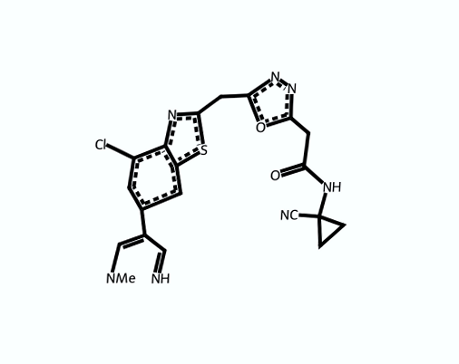 CN/C=C(\C=N)c1cc(Cl)c2nc(Cc3nnc(CC(=O)NC4(C#N)CC4)o3)sc2c1